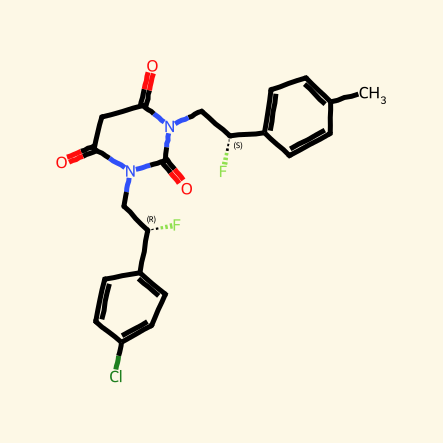 Cc1ccc([C@H](F)CN2C(=O)CC(=O)N(C[C@H](F)c3ccc(Cl)cc3)C2=O)cc1